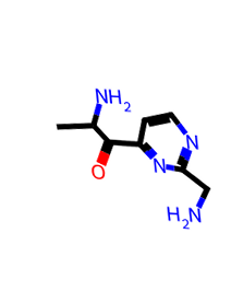 CC(N)C(=O)c1ccnc(CN)n1